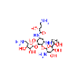 C[C@@H](O)C1O[C@H](O[C@@H]2C(N)C[C@@H](NC(=O)[C@@H](O)CCN)[C@@H](O)C2O[C@@H]2O[C@H](CN)C(O)[C@@H]2O)C(N)[C@@H](O)[C@@H]1O